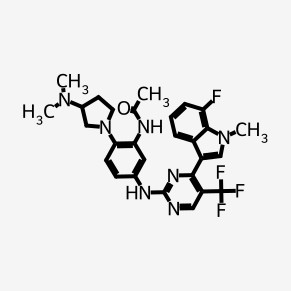 CC(=O)Nc1cc(Nc2ncc(C(F)(F)F)c(-c3cn(C)c4c(F)cccc34)n2)ccc1N1CCC(N(C)C)C1